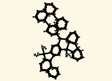 CC1(C)c2cc3c(cc2-c2c1ccc1ccccc21)C1(C)c2ccccc2-c2cccc(c21)N3c1ccc(-c2cccc3cccc(-c4ccccc4)c23)cc1